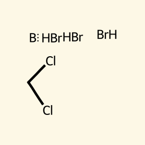 Br.Br.Br.ClCCl.[B]